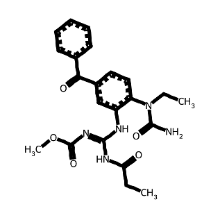 CCC(=O)NC(=NC(=O)OC)Nc1cc(C(=O)c2ccccc2)ccc1N(CC)C(N)=O